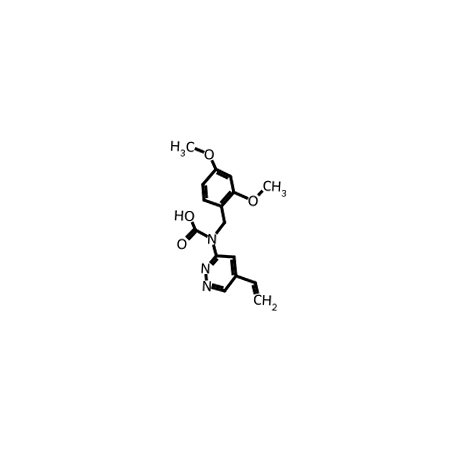 C=Cc1cnnc(N(Cc2ccc(OC)cc2OC)C(=O)O)c1